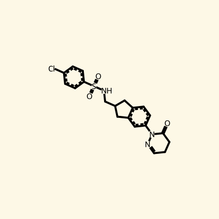 O=C1CCC=NN1c1ccc2c(c1)CC(CNS(=O)(=O)c1ccc(Cl)cc1)C2